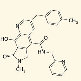 Cc1ccc(Cc2cnc3c(O)c4c(c(C(=O)NCc5ccccn5)c3c2)CN(C)C4=O)cc1